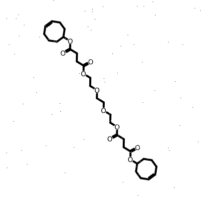 O=C(CCC(=O)OC1CC/C=C\CCC1)OCCOCCOCCOC(=O)CCC(=O)OC1CC/C=C\CCC1